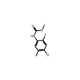 Cc1cc(NC(=O)OI)c(F)cc1Cl